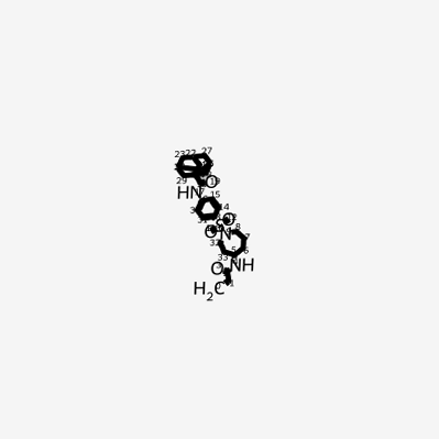 C=CC(=O)NC1CCCN(S(=O)(=O)c2ccc(NC(=O)C34CC5CC(CC(C5)C3)C4)cc2)CC1